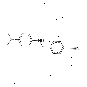 CC(C)c1ccc(NCc2ccc(C#N)cc2)cc1